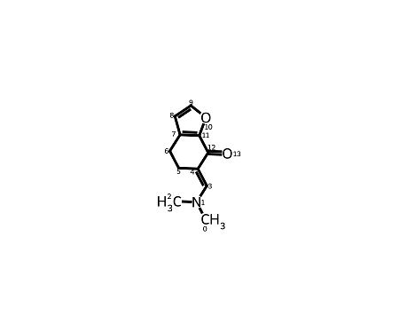 CN(C)/C=C1\CCc2ccoc2C1=O